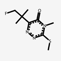 CSc1nnc(C(C)(C)CF)c(=O)n1C